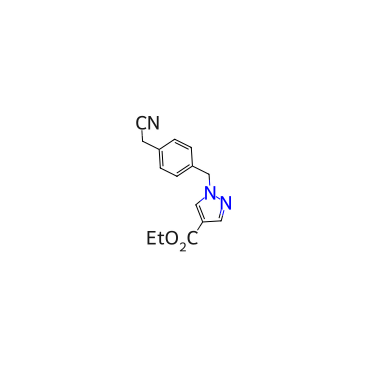 CCOC(=O)c1cnn(Cc2ccc(CC#N)cc2)c1